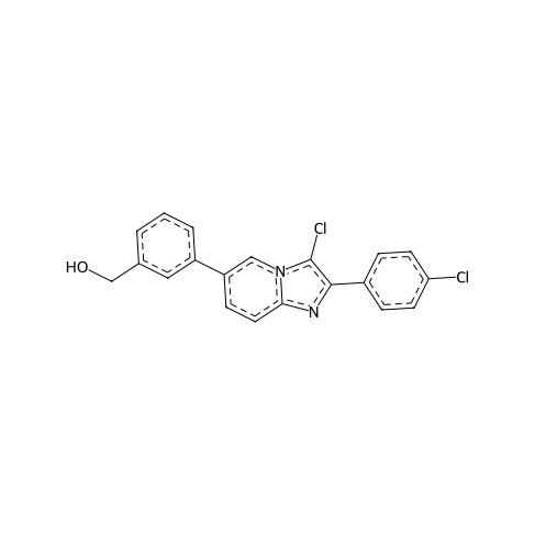 OCc1cccc(-c2ccc3nc(-c4ccc(Cl)cc4)c(Cl)n3c2)c1